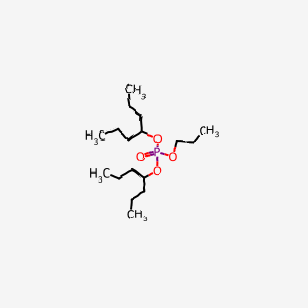 CCCOP(=O)(OC(CCC)CCC)OC(CCC)CCC